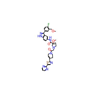 COCc1cc(-c2n[nH]c3ccc(NC(=O)[C@]4(OC)CCN(CC(=O)N5CC=C(c6ncc(-c7ncccn7)s6)CC5)C4)cc23)ccc1F